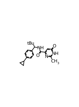 Cc1nc(C(=O)NC(c2ccc(C3CC3)cc2)C(C)(C)C)cc(=O)[nH]1